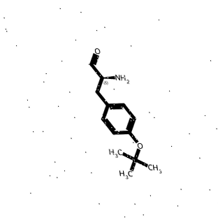 CC(C)(C)Oc1ccc(C[C@H](N)[C]=O)cc1